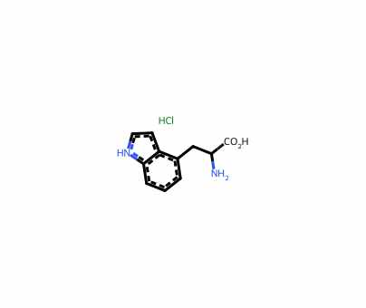 Cl.NC(Cc1cccc2[nH]ccc12)C(=O)O